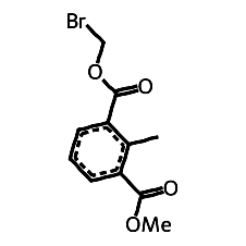 COC(=O)c1cccc(C(=O)OCBr)c1C